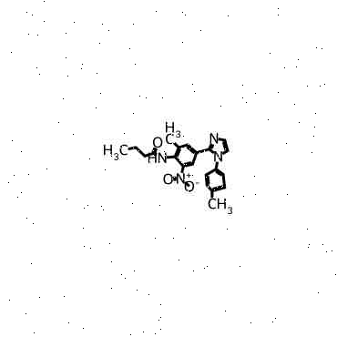 CCCC(=O)Nc1c(C)cc(-c2nccn2-c2ccc(C)cc2)cc1[N+](=O)[O-]